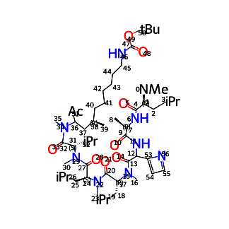 CN[C@@H](CC(C)C)C(=O)N[C@H](C)C(=O)NC(C(=O)N(C)[C@H](CC(C)C)C(=O)N(C)[C@@H](CC(C)C)C(=O)N(C)[C@H](C(=O)N(C)C(C[C@H](C)CCCCCCNC(=O)OC(C)(C)C)C(C)=O)C(C)C)C1=CC=N1